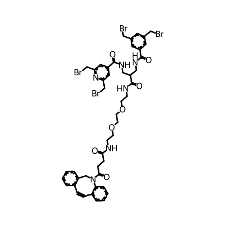 O=C(CCC(=O)N1Cc2ccccc2C#Cc2ccccc21)NCCOCCOCCNC(=O)C(CNC(=O)c1cc(CBr)cc(CBr)c1)CNC(=O)c1cc(CBr)nc(CBr)c1